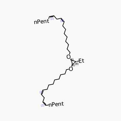 CCCCC/C=C\C/C=C\CCCCCCCCO[C@@H]1[C@H](CC)[C@@H]1OCCCCCCCC/C=C\C/C=C\CCCCC